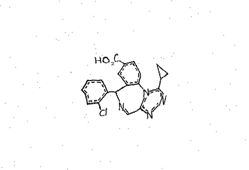 O=C(O)c1ccc2c(c1)C(c1ccccc1Cl)N=Cc1nnc(C3CC3)n1-2